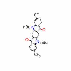 CCCCn1c2c(c(=O)c3cc4c(cc31)c(=O)c1ccc(C(F)(F)F)cc1n4CCCC)CCC(C(F)(F)F)=C2